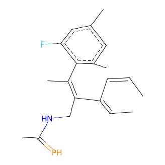 C\C=C/C(=C\C)C(/CNC(C)=P)=C(/C)c1c(C)cc(C)cc1F